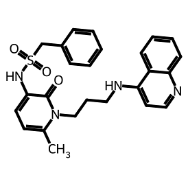 Cc1ccc(NS(=O)(=O)Cc2ccccc2)c(=O)n1CCCNc1ccnc2ccccc12